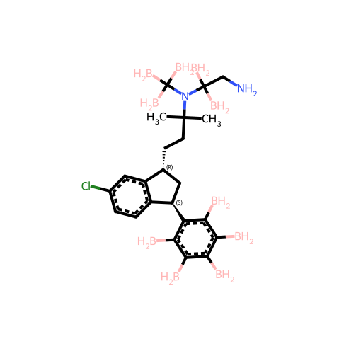 Bc1c(B)c(B)c([C@@H]2C[C@@H](CCC(C)(C)N(C(B)(B)B)C(B)(B)CN)c3cc(Cl)ccc32)c(B)c1B